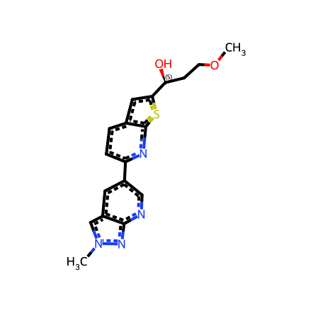 COCC[C@H](O)c1cc2ccc(-c3cnc4nn(C)cc4c3)nc2s1